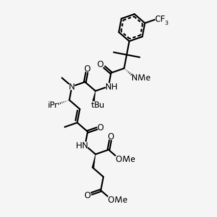 CN[C@H](C(=O)N[C@H](C(=O)N(C)[C@H](/C=C(\C)C(=O)N[C@H](CCC(=O)OC)C(=O)OC)C(C)C)C(C)(C)C)C(C)(C)c1cccc(C(F)(F)F)c1